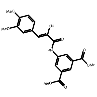 COC(=O)c1cc(NC(=O)C(C#N)=Cc2ccc(OC)c(OC)c2)cc(C(=O)OC)c1